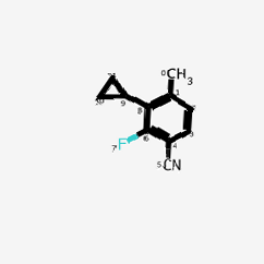 Cc1ccc(C#N)c(F)c1C1CC1